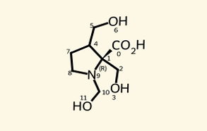 O=C(O)[C@]1(CO)C(CO)CCN1CO